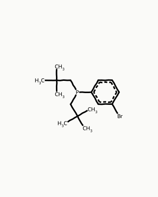 CC(C)(C)CP(CC(C)(C)C)c1cccc(Br)c1